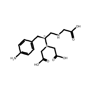 Nc1ccc(C[C@@H](CNCC(=O)O)N(CC(=O)O)CC(=O)O)cc1